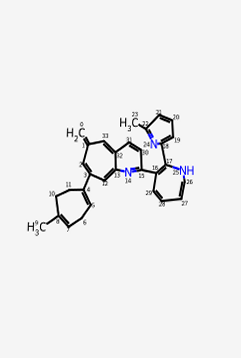 C=C1C=C(C2=CCC=C(C)CC2)C=c2nc(C3=C(c4cccc(C)n4)NC=CC=C3)ccc2=C1